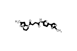 Cc1cc2n(n1)CCCN2C(=O)CCC(=O)Nc1ccc(-c2csc(C)n2)cc1